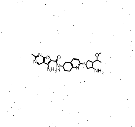 COC(C)C1CN(c2ccc3c(n2)CCC(NC(=O)c2sc4nc(C)ncc4c2N)C3)CC1N